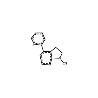 N#CN1CCc2c(-c3ccccn3)cccc21